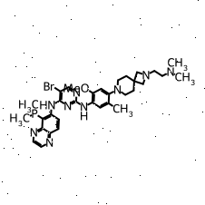 COc1cc(N2CCC3(CC2)CN(CCN(C)C)C3)c(C)cc1Nc1ncc(Br)c(Nc2ccc3nccnc3c2P(C)C)n1